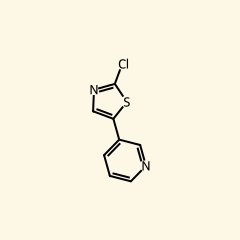 Clc1ncc(-c2cccnc2)s1